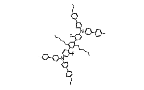 CCCCCCc1cc(-c2ccc(N(c3ccc(-c4ccc(C)cc4)cc3)c3ccc(-c4ccc(CCC)cc4)cc3)cc2F)c(CCCCCC)cc1-c1ccc(N(c2ccc(-c3ccc(C)cc3)cc2)c2ccc(-c3ccc(CCC)cc3)cc2)cc1F